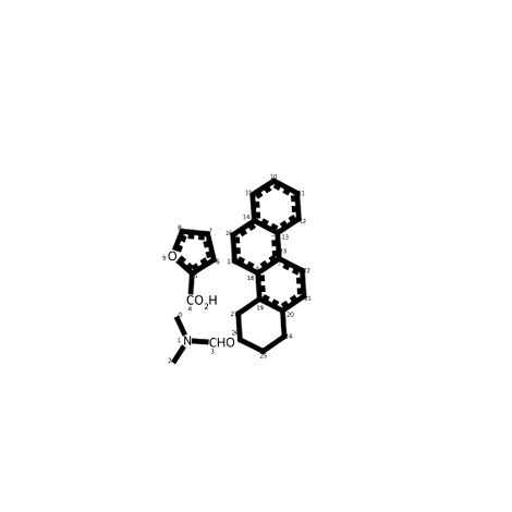 CN(C)C=O.O=C(O)c1ccco1.c1ccc2c(c1)ccc1c3c(ccc12)CCCC3